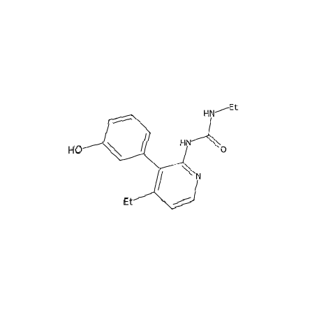 CCNC(=O)Nc1nccc(CC)c1-c1cccc(O)c1